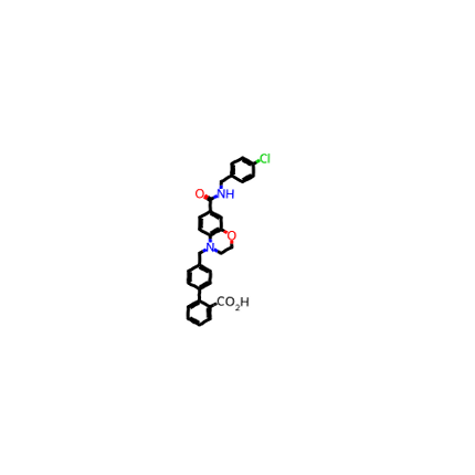 O=C(NCc1ccc(Cl)cc1)c1ccc2c(c1)OCCN2Cc1ccc(-c2ccccc2C(=O)O)cc1